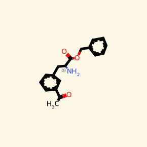 CC(=O)c1cccc(C[C@H](N)C(=O)OCc2ccccc2)c1